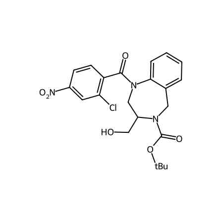 CC(C)(C)OC(=O)N1Cc2ccccc2N(C(=O)c2ccc([N+](=O)[O-])cc2Cl)CC1CO